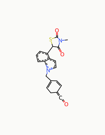 CN1C(=O)SC(c2cccc3c2ccn3CC2=CCC(=C=O)C=C2)C1=O